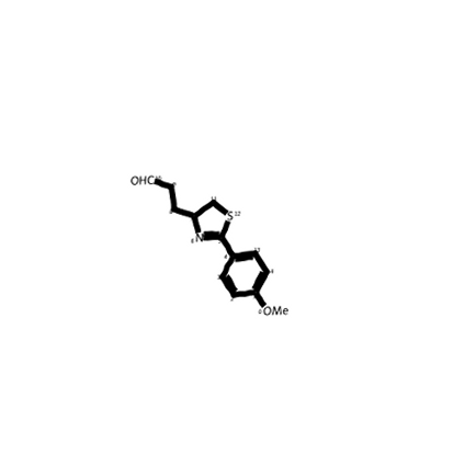 COc1ccc(C2=NC(CCC=O)CS2)cc1